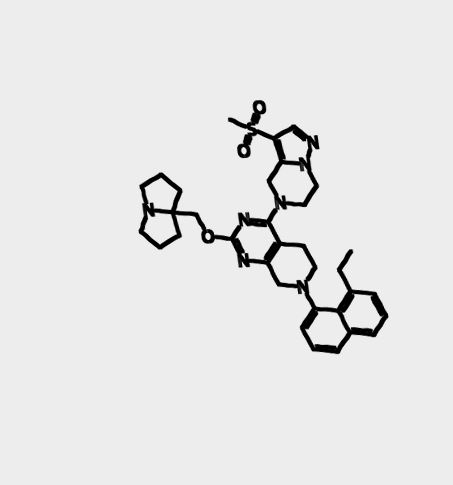 CCc1cccc2cccc(N3CCc4c(nc(OCC56CCCN5CCC6)nc4N4CCn5ncc(S(C)(=O)=O)c5C4)C3)c12